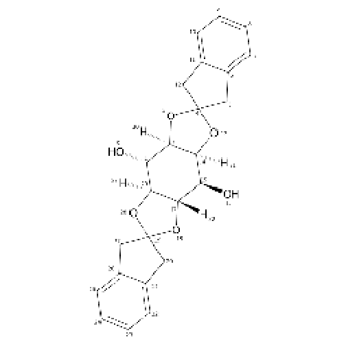 O[C@@H]1[C@H]2OC3(Cc4ccccc4C3)O[C@H]2[C@@H](O)[C@@H]2OC3(Cc4ccccc4C3)O[C@@H]12